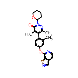 Cc1cc(Oc2nccc3cnsc23)ccc1-c1c(C)nn(C2CCCCO2)c(=O)c1C